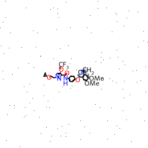 C=Nc1cc(OC)c(OC)cc1/C(=C\C)Oc1ccc(NC(=O)c2nn(CCOC3CC3)cc2OCC(F)(F)F)cc1